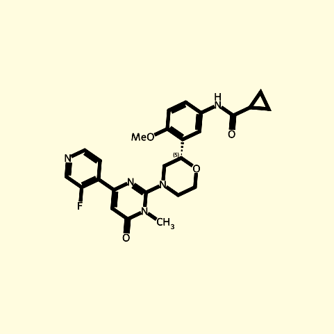 COc1ccc(NC(=O)C2CC2)cc1[C@H]1CN(c2nc(-c3ccncc3F)cc(=O)n2C)CCO1